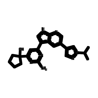 CC(C)n1cc(-c2cnc3[nH]cc(-c4cc(C5(O)CCCC5)nc(N)n4)c3c2)cn1